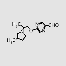 CC1CCN(C(C)COc2cnc(C=O)cn2)C1